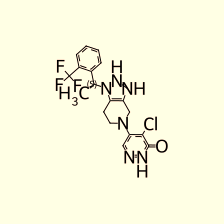 C[C@@H](c1ccccc1C(F)(F)F)N1NNC2=C1CCN(c1cn[nH]c(=O)c1Cl)C2